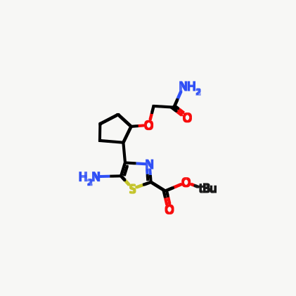 CC(C)(C)OC(=O)c1nc(C2CCCC2OCC(N)=O)c(N)s1